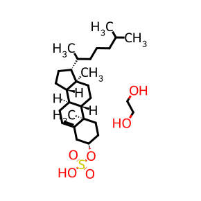 CC(C)CCCC(C)[C@H]1CC[C@H]2[C@@H]3CC=C4C[C@@H](OS(=O)(=O)O)CC[C@]4(C)[C@H]3CC[C@]12C.OCCO